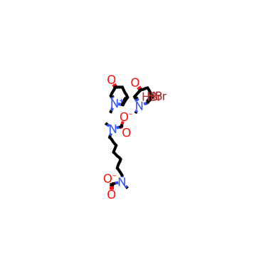 Br.Br.CN(CCCCCCN(C)C(=O)[O-])C(=O)[O-].C[N+]1=CC(=O)CC=C1.C[N+]1=CC(=O)CC=C1